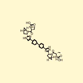 CC[C@H](NC(=O)O)C(=O)N1[C@@H]2C[C@@H]2C[C@H]1c1nc(-c2ccc(-c3ccc(-c4c[nH]c([C@@H]5C[C@H]6C[C@H]6N5C(=O)[C@H](CC)NC(=O)O)n4)cc3)cc2)c[nH]1